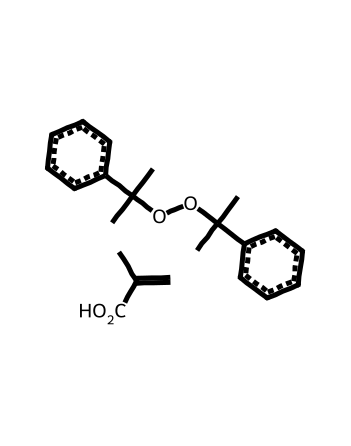 C=C(C)C(=O)O.CC(C)(OOC(C)(C)c1ccccc1)c1ccccc1